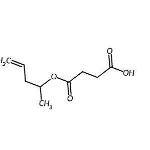 C=CCC(C)OC(=O)CCC(=O)O